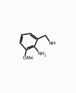 COc1cccc(C[NH])c1N